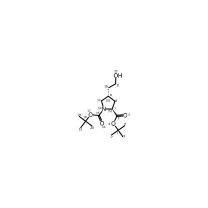 CC(C)(C)OC(=O)[C@@H]1C[C@@H](CCO)CN1C(=O)OC(C)(C)C